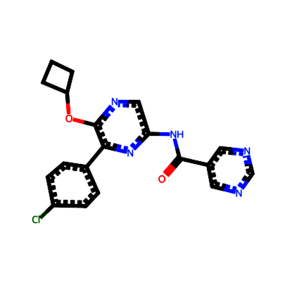 O=C(Nc1cnc(OC2CCC2)c(-c2ccc(Cl)cc2)n1)c1cncnc1